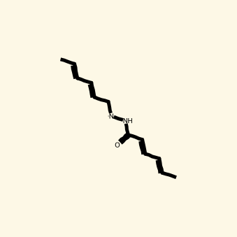 CC=CC=CC[N]NC(=O)C=CC=CC